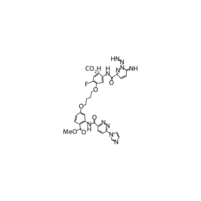 COC(=O)c1ccc(OCCCCOc2cc(NC(=O)c3ccc(=N)n(N=N)n3)c(C(=O)O)cc2F)cc1NC(=O)c1ccc(-n2ccnc2)nn1